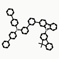 CC1(C)c2ccccc2-c2cc(-n3c4ccccc4c4ccc(-c5cccc(-c6cccc(N(c7ccc(-c8ccccc8)cc7)c7ccc(-c8ccccc8)cc7)c6)c5)cc43)ccc21